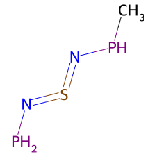 CPN=S=NP